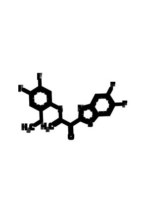 C=C(Sc1cc(F)c(F)cc1CC)C(=O)c1nc2cc(F)c(F)cc2s1